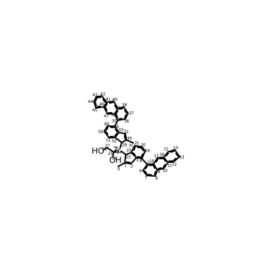 CC1=Cc2c(-c3cccc4cc5ccccc5cc34)cccc2[CH]1[Zr]([CH](O)CO)[CH]1C(C)=Cc2c(-c3cccc4cc5ccccc5cc34)cccc21